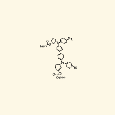 CCc1ccc(N(c2ccc(-c3ccc(N(c4ccc(CC)cc4)c4cccc(OC(=O)OC)c4)cc3)cc2)c2cccc(OC(=O)OC)c2)cc1